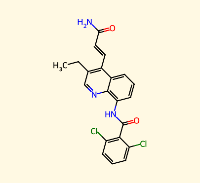 CCc1cnc2c(NC(=O)c3c(Cl)cccc3Cl)cccc2c1C=CC(N)=O